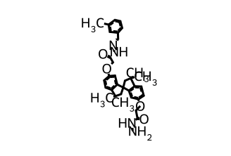 Cc1cccc(C=NNC(=O)COc2ccc3c(c2)C2(CC(C)(C)c4ccc(OCC(=O)NN)cc42)CC3(C)C)c1